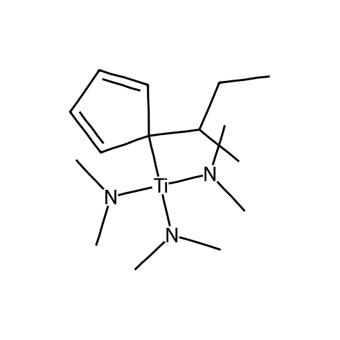 CCC(C)[C]1([Ti]([N](C)C)([N](C)C)[N](C)C)C=CC=C1